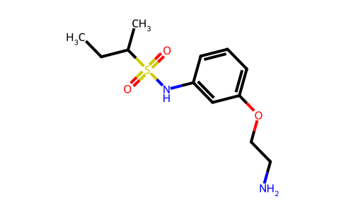 CCC(C)S(=O)(=O)Nc1cccc(OCCN)c1